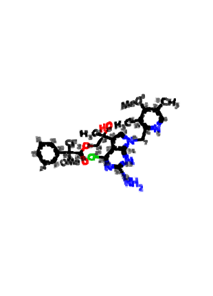 COc1c(C)cnc(Cn2cc([C@@](C)(O)COC(=O)[C@](OC)(c3ccccc3)C(F)(F)F)c3c(Cl)nc(N)nc32)c1C